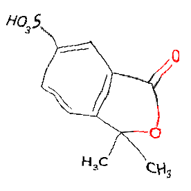 CC1(C)OC(=O)c2cc(S(=O)(=O)O)ccc21